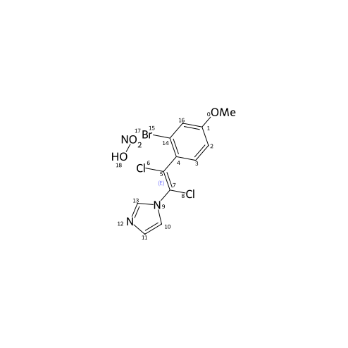 COc1ccc(/C(Cl)=C(\Cl)n2ccnc2)c(Br)c1.O=[N+]([O-])O